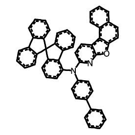 c1ccc(-c2ccc(N(c3ccc4c(n3)oc3ccc5ccccc5c34)c3cccc4c3-c3ccccc3C43c4ccccc4-c4ccccc43)cc2)cc1